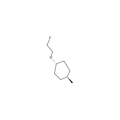 C[C@H]1CC[C@H](OCCF)CC1